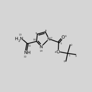 CC(C)(C)OC(=O)n1ccc(C(=N)N)n1